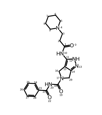 O=C(CCN1CCCCC1)Nc1[nH]nc2c1CN(C(=O)NC(=O)c1ccccc1)C2